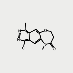 Cc1nnc(Cl)c2cc3c(cc12)OCCC(=O)N3C